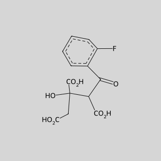 O=C(O)CC(O)(C(=O)O)C(C(=O)O)C(=O)c1ccccc1F